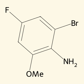 COc1cc(F)cc(Br)c1N